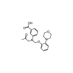 CC(=O)CN(COc1ccccc1N1CCOCC1)c1cccc(C(=O)O)c1